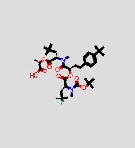 C[C@@H](OC(=O)[C@H](CC(C)(C)C)N(C)C(=O)[C@@H](CCc1ccc(C(C)(C)C)cc1)OC(=O)[C@H](CC(C)(C)F)N(C)C(=O)OC(C)(C)C)C(=O)O